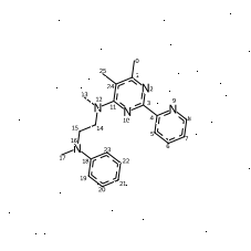 Cc1nc(-c2ccccn2)nc(N(C)CCN(C)c2ccccc2)c1C